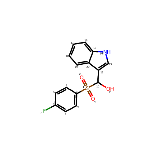 O=S(=O)(c1ccc(F)cc1)C(O)c1c[nH]c2ccccc12